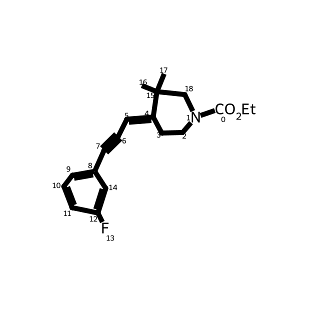 CCOC(=O)N1CC/C(=C\C#Cc2cccc(F)c2)C(C)(C)C1